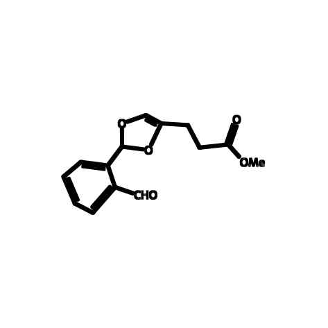 COC(=O)CCC1=COC(c2ccccc2C=O)O1